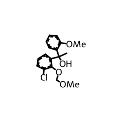 COCOc1c(Cl)cccc1C(C)(O)c1ccccc1OC